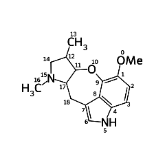 COc1ccc2[nH]cc3c2c1OC1C(C)CN(C)C1C3